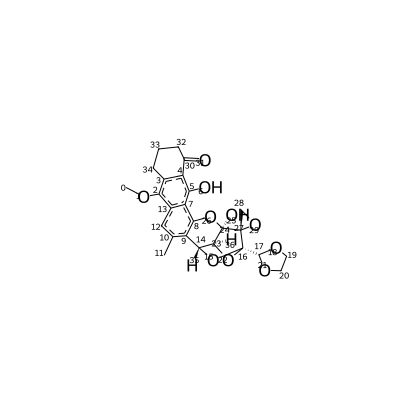 COc1c2c(c(O)c3c4c(c(C)cc13)[C@H]1O[C@]3(C5OCCO5)O[C@@H]1[C@@](O)(O4)[C@@]31CO1)C(=O)CCC2